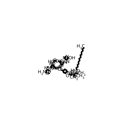 CCCCCCCCCCCCCCCC(=O)N[C@H](C(=O)N[C@@H](C)C(=O)Nc1ccc(CSP2(=O)OC[C@H]3O[C@@H](n4cnc5c(N)ncnc54)[C@H](F)[C@@H]3OP(=O)(O)OC[C@H]3O[C@@H](n4cnc5c(O)ncnc54)C[C@@H]3O2)cc1)C(C)C